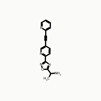 CC(N)c1nc(-c2ccc(C#Cc3ccccn3)cn2)no1